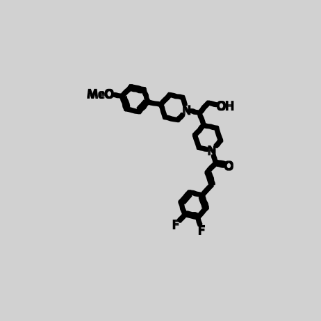 COc1ccc(C2CCN(C(CO)C3CCN(C(=O)/C=C/c4ccc(F)c(F)c4)CC3)CC2)cc1